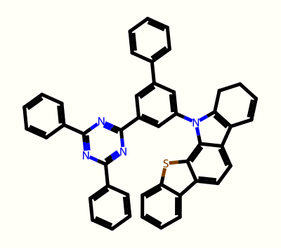 C1=Cc2c(n(-c3cc(-c4ccccc4)cc(-c4nc(-c5ccccc5)nc(-c5ccccc5)n4)c3)c3c2ccc2c4ccccc4sc23)CC1